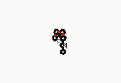 C1=CCCC(C2(c3ccccc3)c3ccccc3Oc3c(-c4ccc(-c5ccccc5)nn4)cccc32)=C1